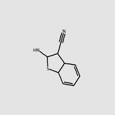 N#CC1C([NH])SC2C=CC=CC21